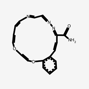 NC(=O)C1=NN=CC=NC=CC=COC=COc2ccccc2C=C1